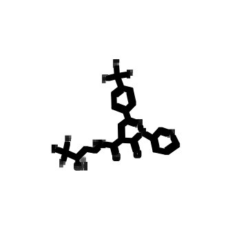 O=C(NCC[C@H](O)C(F)(F)F)c1cc(-c2ccc(C(F)(F)F)cc2)nn(-c2cccnc2)c1=O